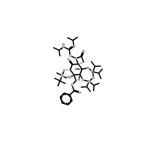 CC(C)N=C(NC(C)C)ON1C(=O)C[C@]12C(=O)[C@@H](O[Si](C)(C)C(C)(C)C)[C@@](O)(COC(=O)c1ccccc1)[C@H]1O[Si](C(C)C)(C(C)C)O[Si](C(C)C)(C(C)C)O[C@H]12